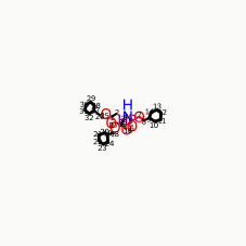 O=C(C[C@H](N[PH](=O)OCc1ccccc1)C(=O)OCc1ccccc1)OCc1ccccc1